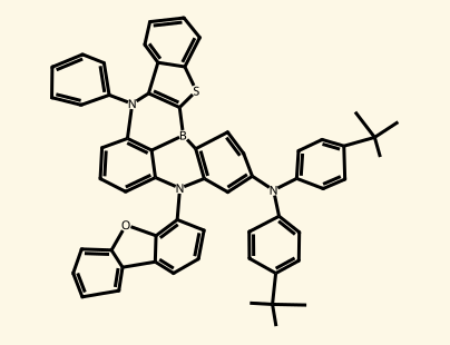 CC(C)(C)c1ccc(N(c2ccc(C(C)(C)C)cc2)c2ccc3c(c2)N(c2cccc4c2oc2ccccc24)c2cccc4c2B3c2sc3ccccc3c2N4c2ccccc2)cc1